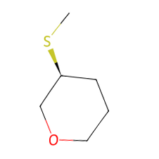 CS[C@H]1CCCOC1